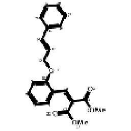 COC(=O)C(=Cc1ccccc1OC/C=C/c1ccccc1)C(=O)OC